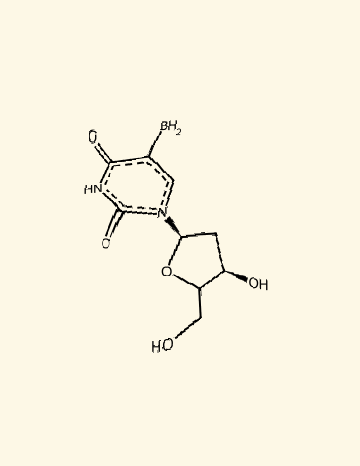 Bc1cn([C@H]2C[C@@H](O)C(CO)O2)c(=O)[nH]c1=O